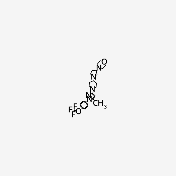 Cc1cc(N2CCC(N3CCC(N4CCOCC4)C3)CC2)nn1-c1ccc(OC(F)(F)F)cc1